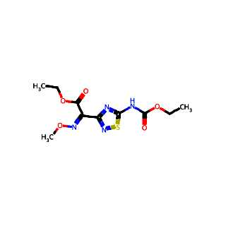 CCOC(=O)Nc1nc(/C(=N/OC)C(=O)OCC)ns1